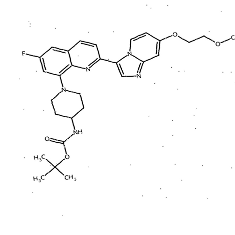 COCCOc1ccn2c(-c3ccc4cc(F)cc(N5CCC(NC(=O)OC(C)(C)C)CC5)c4n3)cnc2c1